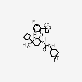 CC1(C2CCCC2)CCC(NC(=O)NC2CCC(F)(F)CC2)C(Oc2ccc(F)cc2C2(C(F)(F)F)CCO2)N1